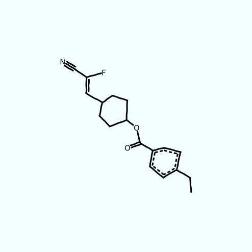 CCc1ccc(C(=O)OC2CCC(C=C(F)C#N)CC2)cc1